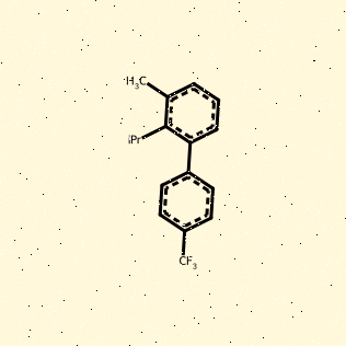 Cc1cccc(-c2ccc(C(F)(F)F)cc2)c1C(C)C